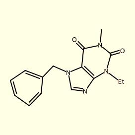 CCn1c(=O)n(C)c(=O)c2c1ncn2Cc1ccccc1